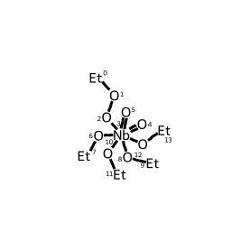 CCO[O][Nb](=[O])(=[O])([O]CC)([O]CC)([O]CC)[O]CC